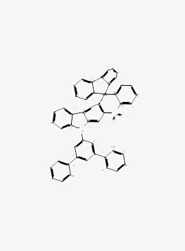 O=S1(=O)c2ccccc2C2(c3ccccc3-c3ccccc32)c2cc3c4ccccc4n(-c4cc(-c5ccccc5)cc(-c5ccccc5)c4)c3cc21